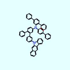 c1ccc(-c2ccc(N(c3ccc(-c4ccccc4)c(-c4cccc(-n5c6ccccc6c6cc7ccccc7cc65)c4)c3)c3cc(-c4ccccc4)ccc3-c3ccccc3)cc2)cc1